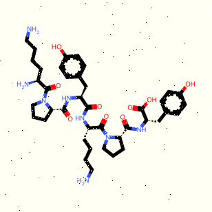 NCCCC[C@H](NC(=O)[C@H](Cc1ccc(O)cc1)NC(=O)[C@@H]1CCCN1C(=O)[C@@H](N)CCCCN)C(=O)N1CCC[C@H]1C(=O)N[C@@H](Cc1ccc(O)cc1)C(=O)O